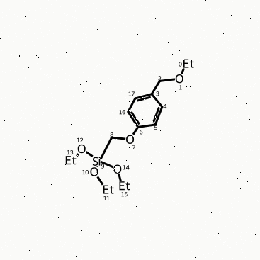 CCOCc1ccc(OC[Si](OCC)(OCC)OCC)cc1